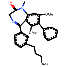 COCCCc1cccc(C2=NCC(=O)N(C)c3cc(OC)c(-c4ccccc4)c(OC)c32)c1